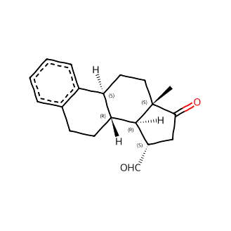 C[C@]12CC[C@@H]3c4ccccc4CC[C@H]3[C@@H]1[C@@H](C=O)CC2=O